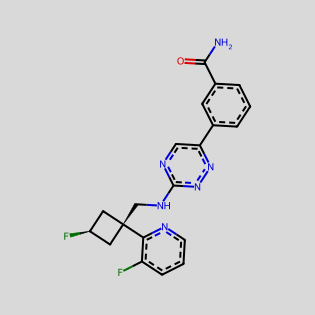 NC(=O)c1cccc(-c2cnc(NC[C@]3(c4ncccc4F)C[C@H](F)C3)nn2)c1